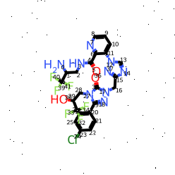 NC(CNC(=O)c1ncccc1-n1cnc(Cn2nc(-c3ccc(Cl)cc3)n(CC(O)C(F)(F)F)c2=O)n1)C(F)(F)F